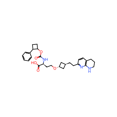 O=C(N[C@@H](CCO[C@H]1C[C@H](CCc2ccc3c(n2)NCCC3)C1)C(=O)O)OC1CCC1c1ccccc1